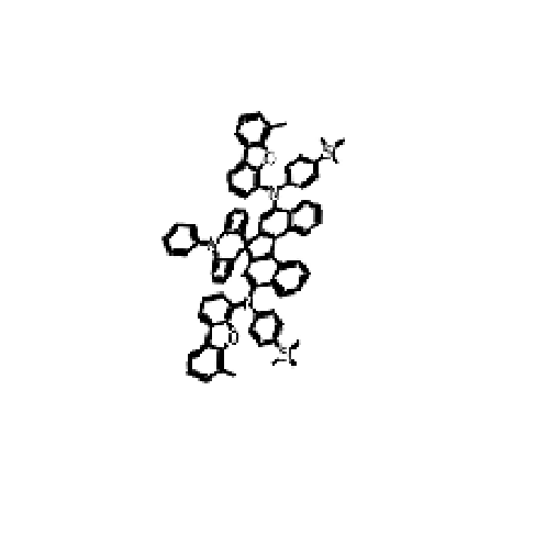 Cc1cccc2c1oc1c(N(c3ccc([Si](C)(C)C)cc3)c3cc4c(c5ccccc35)-c3c(cc(N(c5ccc([Si](C)(C)C)cc5)c5cccc6c5oc5c(C)cccc56)c5ccccc35)C43c4ccccc4N(c4ccccc4)c4ccccc43)cccc12